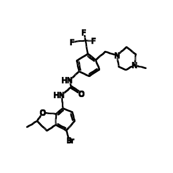 CC1Cc2c(Br)ccc(NC(=O)Nc3ccc(CN4CCN(C)CC4)c(C(F)(F)F)c3)c2O1